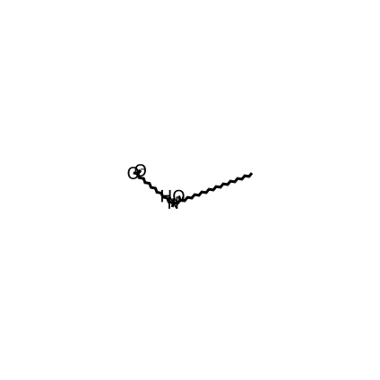 CCCCCCCCCCCCCCCCCCCCC(O)C[N+](C)(C)CCCCCCCCCCCC(=O)[O-]